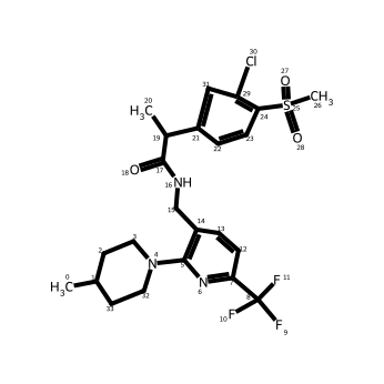 CC1CCN(c2nc(C(F)(F)F)ccc2CNC(=O)C(C)c2ccc(S(C)(=O)=O)c(Cl)c2)CC1